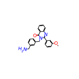 COc1cccc(-c2nc3ccccc3c(=O)n2Cc2cccc(CN)c2)c1